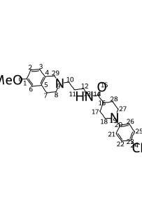 COc1ccc2c(c1)CCN(CCCNC(=O)C1CCN(c3ccc(C#N)cc3)CC1)C2